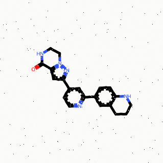 O=C1NCCn2nc(-c3ccnc(-c4ccc5c(c4)CCCN5)c3)cc21